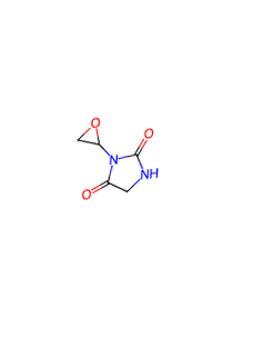 O=C1CNC(=O)N1C1CO1